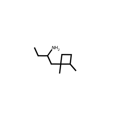 CCC(N)CC1(C)CCC1C